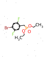 CCOP(=O)(Cc1cc(F)c(Br)cc1F)OCC